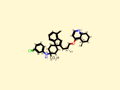 Cc1cccc2c1C=C(C[C@@H](C)COc1ccnc3c1[C@H](C)CCC3)C21CCC(Nc2cccc(Cl)c2)(C(=O)O)CC1